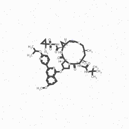 COc1ccc2c(OC3C[C@H]4C(=O)N[C@]5(C(=O)NS(=O)(=O)C6(C)CC6)C[C@H]5/C=C\CC[C@@H](C)C[C@@H](C)[C@H](NC(=O)NC(C)(C)C)C(=O)N4C3)nc(-c3ccc(OC(C)C)nc3)cc2c1